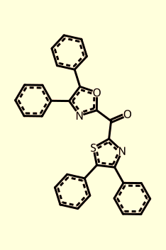 O=C(c1nc(-c2ccccc2)c(-c2ccccc2)o1)c1nc(-c2ccccc2)c(-c2ccccc2)s1